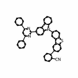 N#Cc1ccccc1-c1ccc2sc3ccc(-n4c5ccccc5c5cc(-c6nc(-c7ccccc7)cc(-c7ccccc7)n6)ccc54)cc3c2c1